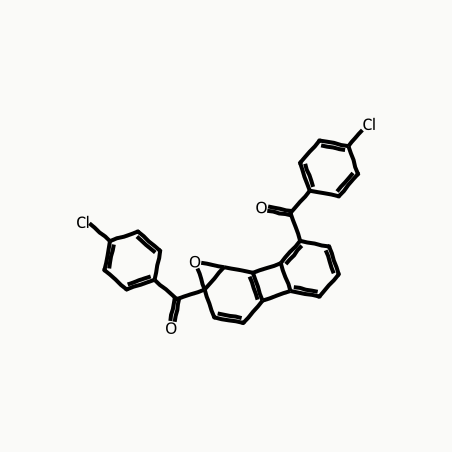 O=C(c1ccc(Cl)cc1)c1cccc2c1C1=C2C=CC2(C(=O)c3ccc(Cl)cc3)OC12